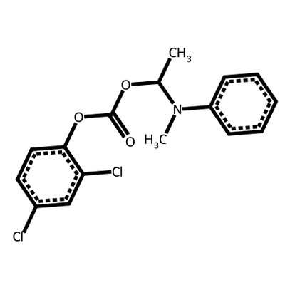 CC(OC(=O)Oc1ccc(Cl)cc1Cl)N(C)c1ccccc1